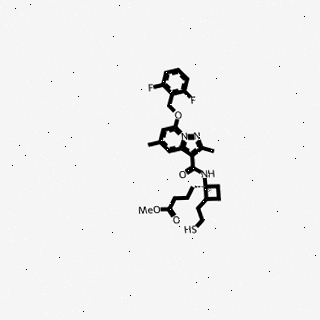 COC(=O)CCC[C@]1(NC(=O)c2c(C)nn3c(OCc4c(F)cccc4F)cc(C)cc23)CCC1CCS